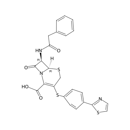 O=C(Cc1ccccc1)N[C@@H]1C(=O)N2C(C(=O)O)=C(Sc3ccc(-c4nccs4)cc3)CS[C@H]12